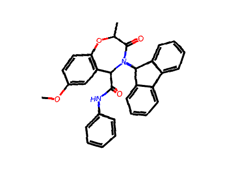 COc1ccc2c(c1)C(C(=O)Nc1ccccc1)N(C1c3ccccc3-c3ccccc31)C(=O)C(C)O2